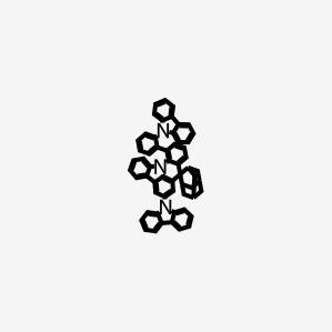 c1ccc(-n2c3ccccc3c3ccccc32)c(-c2cccc3c2-n2c4ccccc4c4cc(-n5c6ccccc6c6ccccc65)cc(c42)C32C3CC4CC(C3)CC2C4)c1